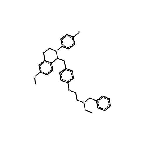 CCN(CCOc1ccc(CC2c3ccc(OC)cc3CCN2c2ccc(F)cc2)cc1)Cc1ccccc1